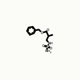 CC(CNS(N)(=O)=O)C(=O)OCc1ccccc1